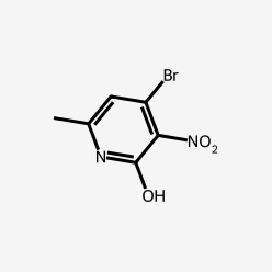 Cc1cc(Br)c([N+](=O)[O-])c(O)n1